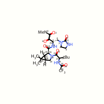 CNC(=O)C(=O)[C@H](CN1CCNC1=O)NC(=O)[C@@H]1[C@@H]2[C@H](CN1C(=O)C(NC(=O)C(F)(F)F)C(C)(C)C)C2(C)C